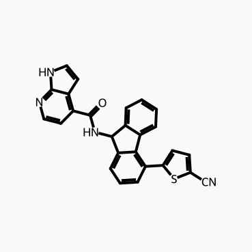 N#Cc1ccc(-c2cccc3c2-c2ccccc2C3NC(=O)c2ccnc3[nH]ccc23)s1